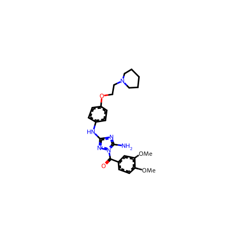 COc1ccc(C(=O)n2nc(Nc3ccc(OCCN4CCCCC4)cc3)nc2N)cc1OC